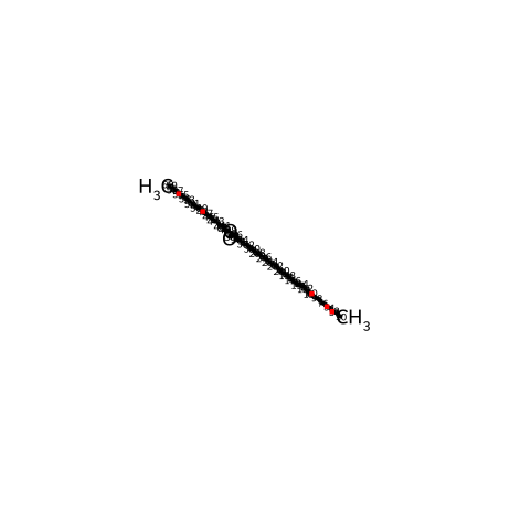 CCCCCCCCCCCCCCCCCCCCCCCCCCCCCCCCCCCCCC(=O)OCCCCCCCCCCCCCCCCCCCCC